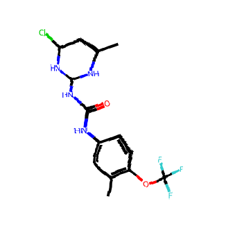 Cc1cc(NC(=O)NC2NC(C)CC(Cl)N2)ccc1OC(F)(F)F